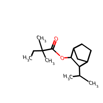 CCC(C)(C)C(=O)OC1C2CCC(C2)C1C(C)C